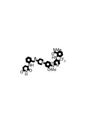 CNC(=O)c1ccccc1Nc1cc(Nc2ccc(N3CCC(N(C)Cc4ccccc4NC4CCC(=O)NC4=O)CC3)cc2OC)ncc1C(F)(F)F